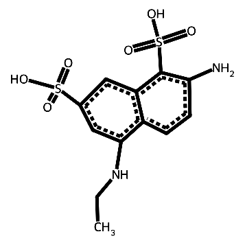 CCNc1cc(S(=O)(=O)O)cc2c(S(=O)(=O)O)c(N)ccc12